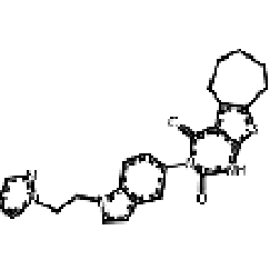 O=c1[nH]c2sc3c(c2c(=O)n1-c1ccc2c(ccn2CCn2cccn2)c1)CCCCC3